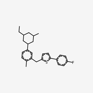 CCC1CC(C)CC(c2ccc(C)c(Cc3ccc(-c4ccc(F)cc4)s3)c2)C1